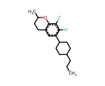 CCCC1CCC(c2cc3c(c(F)c2F)OC(C)CC3)CC1